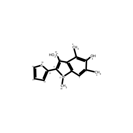 Cc1cc2c(c(C)c1O)c(C(=O)O)c(-c1cccs1)n2C